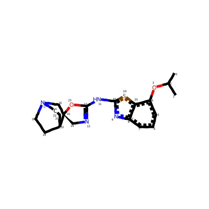 CC(C)Oc1cccc2nc(NC3=NC[C@@]4(CN5CCC4CC5)O3)sc12